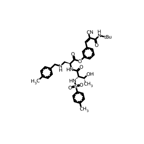 Cc1ccc(CNC[C@H](NC(=O)[C@@H](NS(=O)(=O)c2ccc(C)cc2)[C@@H](C)O)C(=O)Oc2cccc(C=C(C#N)C(=O)NC(C)(C)C)c2)cc1